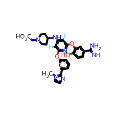 Cn1ccnc1-c1cccc(Oc2nc(Oc3cc(C(=N)N)ccc3O)c(F)c(NC3CCN(CC(=O)O)CC3)c2F)c1